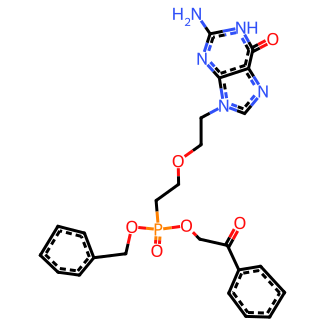 Nc1nc2c(ncn2CCOCCP(=O)(OCC(=O)c2ccccc2)OCc2ccccc2)c(=O)[nH]1